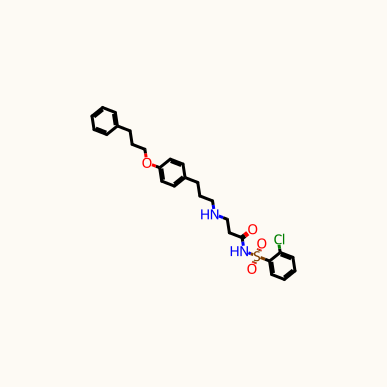 O=C(CCNCCCc1ccc(OCCCc2ccccc2)cc1)NS(=O)(=O)c1ccccc1Cl